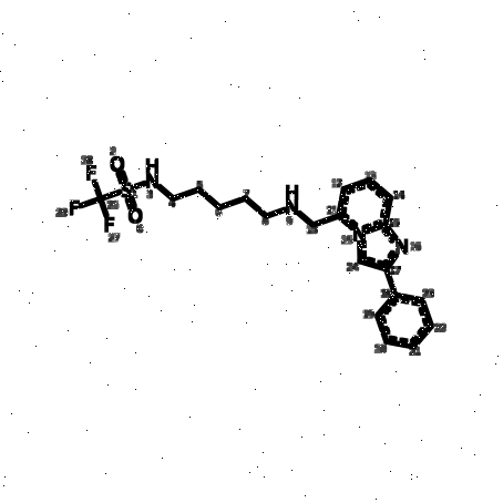 O=S(=O)(NCCCCCNCc1cccc2nc(-c3ccccc3)cn12)C(F)(F)F